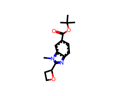 Cn1c(C2CCO2)nc2ccc(C(=O)OC(C)(C)C)cc21